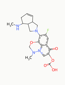 CNC1CC=CC2CN(c3c(F)cc4c(=O)c(OC(=O)O)cn5c4c3OCN5C)CC21